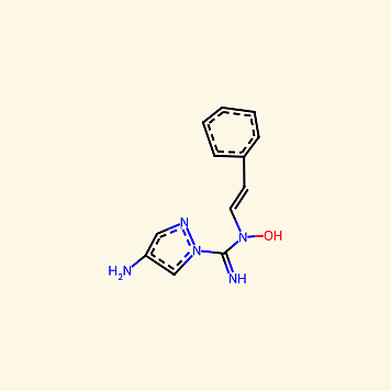 N=C(N(O)C=Cc1ccccc1)n1cc(N)cn1